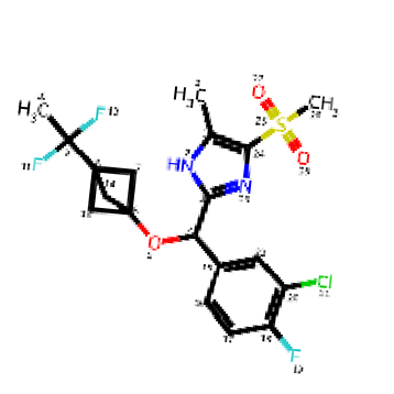 Cc1[nH]c(C(OC23CC(C(C)(F)F)(C2)C3)c2ccc(F)c(Cl)c2)nc1S(C)(=O)=O